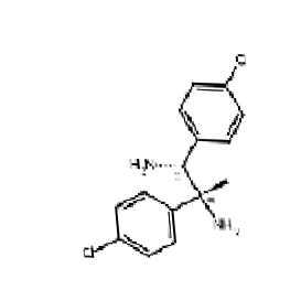 C[C@@](N)(c1ccc(Cl)cc1)[C@H](N)c1ccc(Cl)cc1